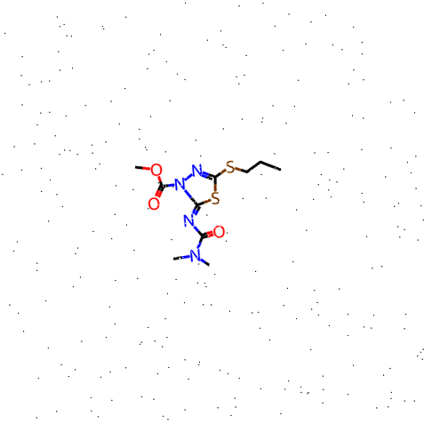 CCCSc1nn(C(=O)OC)c(=NC(=O)N(C)C)s1